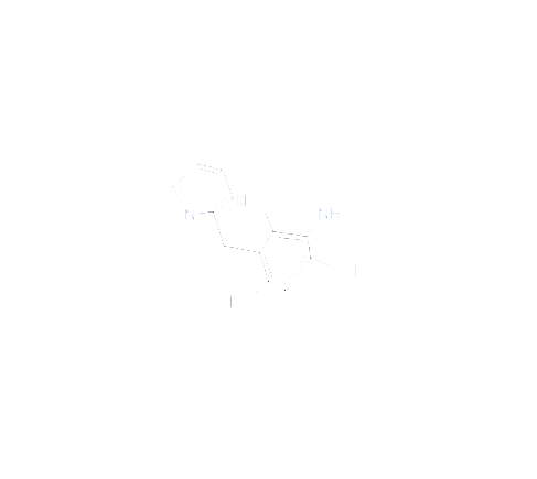 Cc1cc(C)c(Cc2ccccn2)c(C)c1N